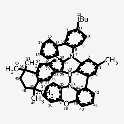 Cc1cc2c3c(c1)N(c1ccc(C(C)(C)C)cc1-c1ccccc1)c1sc4cc5c(cc4c1B3N1c3ccccc3Oc3cccc-2c31)C(C)(C)CCC5(C)C